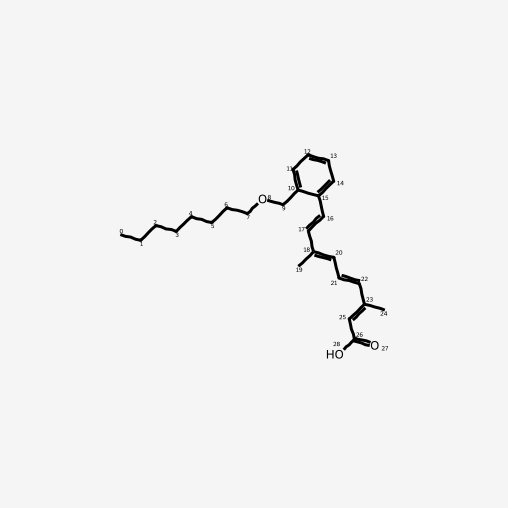 CCCCCCCCOCc1ccccc1C=CC(C)=CC=CC(C)=CC(=O)O